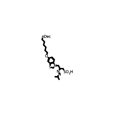 CCCCCCCCCCCCCCCCOc1ccc2c(c1)SCN2CC(CS(=O)(=O)O)=NN=C(C)C